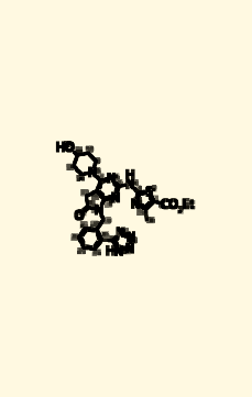 CCOC(=O)c1sc(Nc2nc(N3CCC(O)CC3)c3c(n2)N(Cc2ccccc2-c2nnn[nH]2)C(=O)C3)nc1C